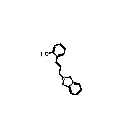 Oc1ccccc1C=CCN1Cc2ccccc2C1